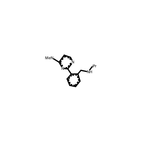 CNc1ccnc(-c2ccccc2CNC(C)C)n1